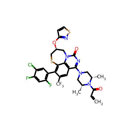 C=CC(=O)N1[C@H](C)CN(c2nc(=O)n3c4c(c(-c5cc(Cl)c(F)cc5F)c(C(F)(F)F)cc24)SC[C@@H](Oc2ccsn2)C3)C[C@@H]1C